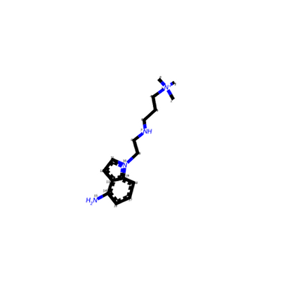 C[N+](C)(C)CCCNCCn1ccc2c(N)cccc21